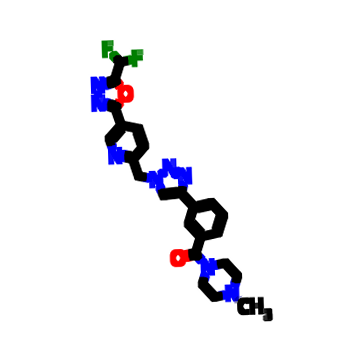 CN1CCN(C(=O)c2cccc(-c3cn(Cc4ccc(-c5nnc(C(F)F)o5)cn4)nn3)c2)CC1